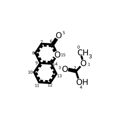 COC(=O)O.O=c1ccc2ccccc2o1